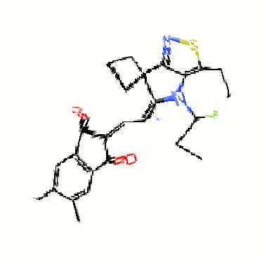 CCc1snc2c1N(C(F)CC)/C(=C/C=C1C(=O)c3cc(C)c(C)cc3C1=O)C21CCC1